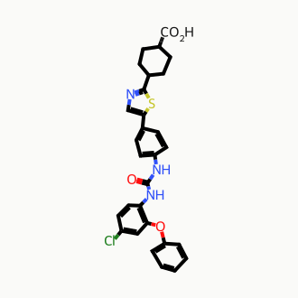 O=C(Nc1ccc(-c2cnc(C3CCC(C(=O)O)CC3)s2)cc1)Nc1ccc(Cl)cc1Oc1ccccc1